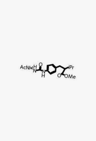 COC(=O)C(Cc1ccc(NC(=O)NNC(C)=O)cc1)C(C)C